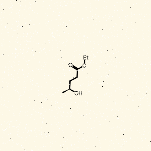 CCOC(=O)CC[C@H](C)O